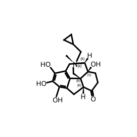 C[N@+]1(CC2CC2)CC[C@]23c4c5c(O)c(O)c(O)c4C[C@H]2C(=O)CC[C@@]3(O)[C@H]1C5